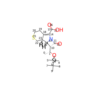 C[C@@H](O[Si](C)(C)C(C)(C)C)[C@H]1C(=O)N2C(C(=O)O)=C3CCSC[C@H]3[C@H]12